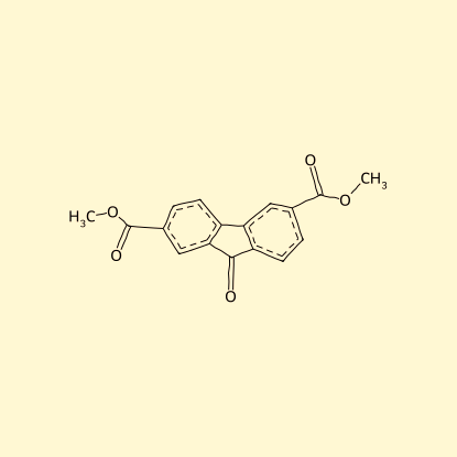 COC(=O)c1ccc2c(c1)C(=O)c1ccc(C(=O)OC)cc1-2